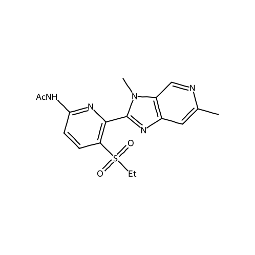 CCS(=O)(=O)c1ccc(NC(C)=O)nc1-c1nc2cc(C)ncc2n1C